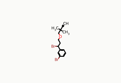 C#CC(C)(C)COCCC(Br)c1cccc(Br)c1